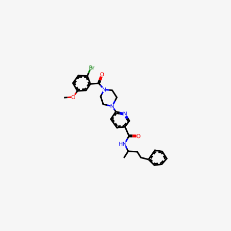 COc1ccc(Br)c(C(=O)N2CCN(c3ccc(C(=O)NC(C)CCc4ccccc4)cn3)CC2)c1